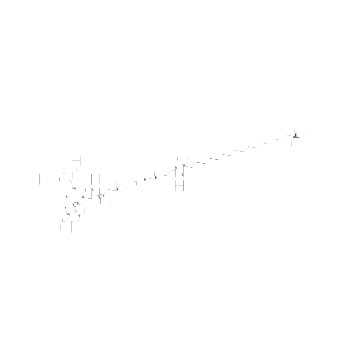 CCC(=O)CN(CC(=O)C(C)C)C(=O)CCNC(=O)CCOCCOCCOCCNC(=O)CCCCCCCCCCCCCCCCC(=O)O